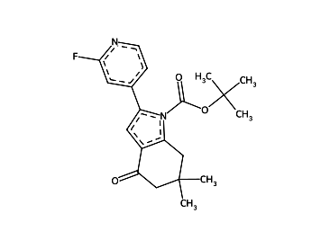 CC1(C)CC(=O)c2cc(-c3ccnc(F)c3)n(C(=O)OC(C)(C)C)c2C1